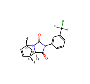 O=C1[C@H]2[C@@H]3C=C[C@@H](C3)N2C(=O)N1c1cccc(C(F)(F)F)c1